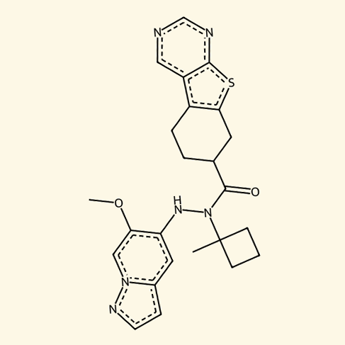 COc1cn2nccc2cc1NN(C(=O)C1CCc2c(sc3ncncc23)C1)C1(C)CCC1